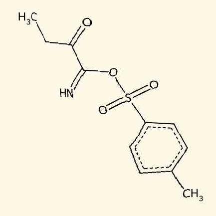 CCC(=O)C(=N)OS(=O)(=O)c1ccc(C)cc1